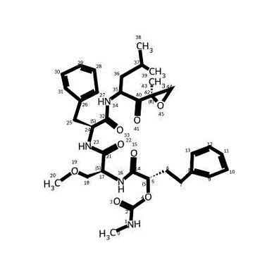 CNC(=O)O[C@@H](CCc1ccccc1)C(=O)N[C@@H](COC)C(=O)N[C@@H](Cc1ccccc1)C(=O)NC(CC(C)C)C(=O)[C@@]1(C)CO1